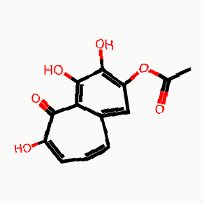 CC(=O)Oc1cc2cccc(O)c(=O)c2c(O)c1O